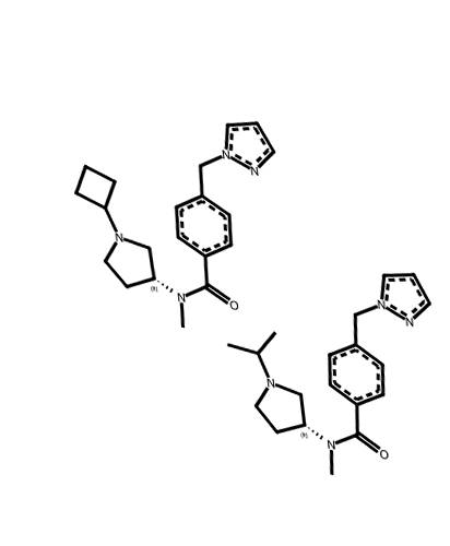 CC(C)N1CC[C@@H](N(C)C(=O)c2ccc(Cn3cccn3)cc2)C1.CN(C(=O)c1ccc(Cn2cccn2)cc1)[C@@H]1CCN(C2CCC2)C1